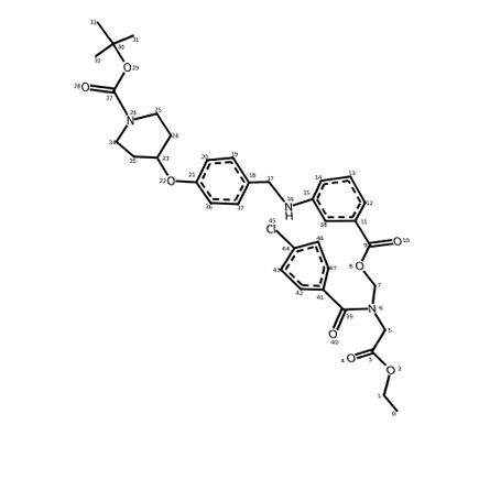 CCOC(=O)CN(COC(=O)c1cccc(NCc2ccc(OC3CCN(C(=O)OC(C)(C)C)CC3)cc2)c1)C(=O)c1ccc(Cl)cc1